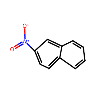 O=[N+]([O-])c1c[c]c2[c]cccc2c1